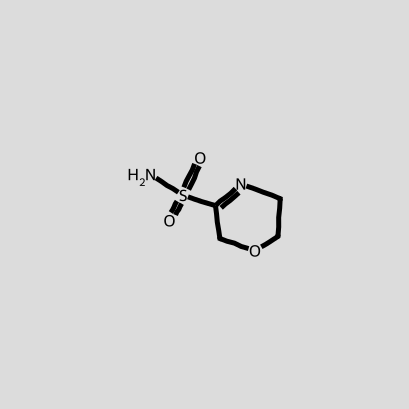 NS(=O)(=O)C1=NCCOC1